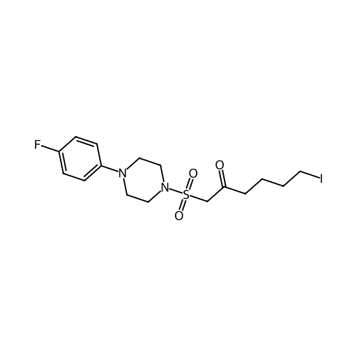 O=C(CCCCI)CS(=O)(=O)N1CCN(c2ccc(F)cc2)CC1